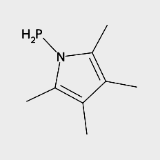 Cc1c(C)c(C)n(P)c1C